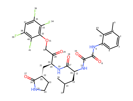 Cc1cccc(NC(=O)C(=O)N[C@@H](CC(C)C)C(=O)N[C@@H](C[C@@H]2CCNC2=O)C(=O)COc2c(F)c(F)cc(F)c2F)c1C